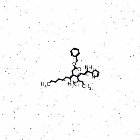 CCCCCC/C(C)=C(CC(=O)OCc1ccccc1)/C(=C/C=C(\N)C1=NC=CC1)C(C)CC